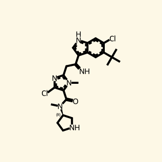 CN(C(=O)c1c(Cl)nc(CC(=N)c2c[nH]c3cc(Cl)c(C(C)(C)C)cc23)n1C)[C@@H]1CCNC1